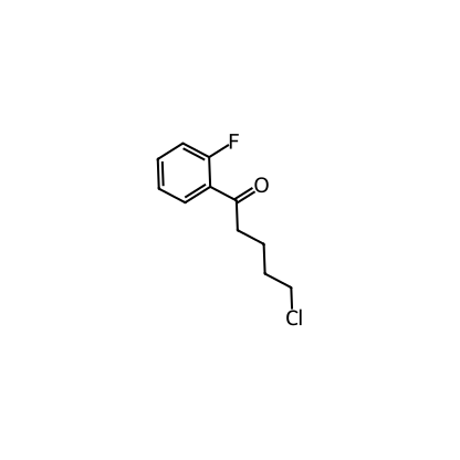 O=C(CCCCCl)c1ccccc1F